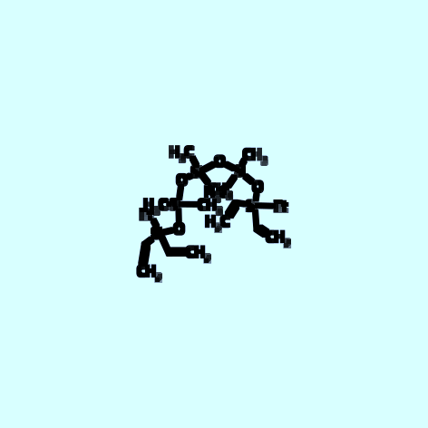 C=C[Si](C=C)(CC)O[Si](C)(C)O[Si](C)(C)O[Si](C)(C)O[Si](C=C)(C=C)CC